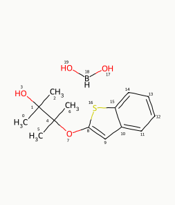 CC(C)(O)C(C)(C)Oc1cc2ccccc2s1.OBO